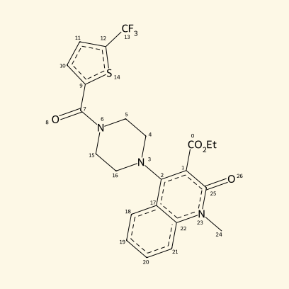 CCOC(=O)c1c(N2CCN(C(=O)c3ccc(C(F)(F)F)s3)CC2)c2ccccc2n(C)c1=O